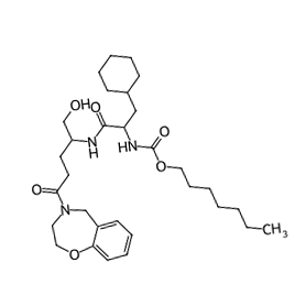 CCCCCCCOC(=O)NC(CC1CCCCC1)C(=O)NC(CO)CCC(=O)N1CCOc2ccccc2C1